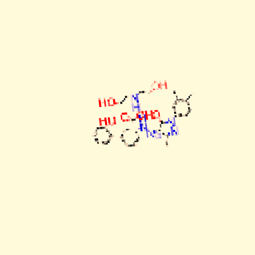 CC1=NN(c2ccc(C)c(C)c2)C(=O)/C1=N\NC1(C(=O)O)C=CC=C(c2ccccc2O)C1.OCCNCCO